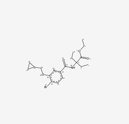 CCOC(=O)C(CC)(CC)NC(=O)c1ccc(Br)c(OCC2CC2)n1